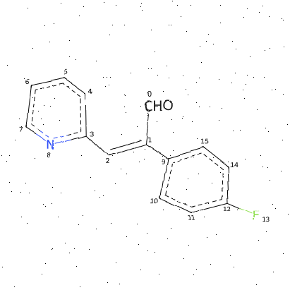 O=C/C(=C\c1ccccn1)c1ccc(F)cc1